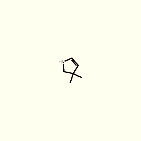 CC1(C)C=CNC1